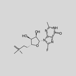 C=P(C)(C)CC[C@H]1O[C@@H](n2c(F)nc3c(=O)[nH]c(C)nc32)[C@H](O)[C@@H]1O